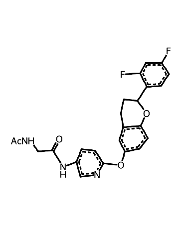 CC(=O)NCC(=O)Nc1ccc(Oc2ccc3c(c2)CCC(c2ccc(F)cc2F)O3)nc1